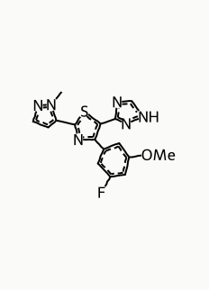 COc1cc(F)cc(-c2nc(-c3ccnn3C)sc2-c2nc[nH]n2)c1